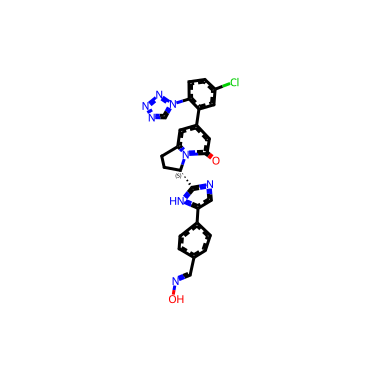 O=c1cc(-c2cc(Cl)ccc2-n2cnnn2)cc2n1[C@H](c1ncc(-c3ccc(C=NO)cc3)[nH]1)CC2